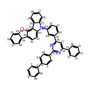 c1ccc(-c2ccc(-c3nc(-c4ccccc4)cc(-c4cccc(-n5c6ccccc6c6c7oc8ccccc8c7ccc65)c4)n3)cc2)cc1